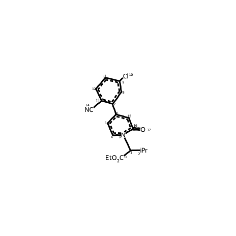 CCOC(=O)C(C(C)C)n1ccc(-c2cc(Cl)ccc2C#N)cc1=O